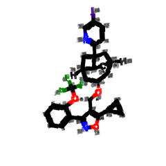 FC(F)(F)Oc1ccccc1-c1noc(C2CC2)c1CO[C@H]1C[C@@H]2CC3[C@H](C1)CC3(c1ccc(I)cn1)C2